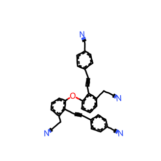 N#CCc1cccc(Oc2cccc(CC#N)c2C#Cc2ccc(C#N)cc2)c1C#Cc1ccc(C#N)cc1